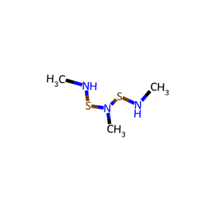 CNSN(C)SNC